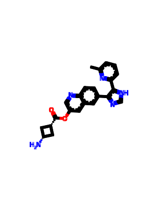 Cc1cccc(-c2[nH]cnc2-c2ccc3ncc(OC(=O)[C@H]4C[C@@H](N)C4)cc3c2)n1